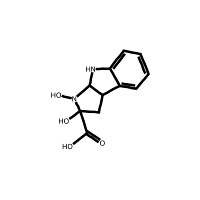 O=C(O)C1(O)CC2c3ccccc3NC2N1O